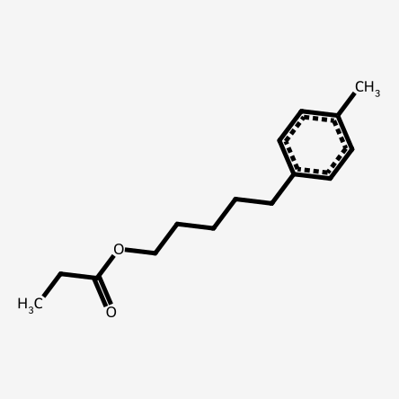 CCC(=O)OCCCCCc1ccc(C)cc1